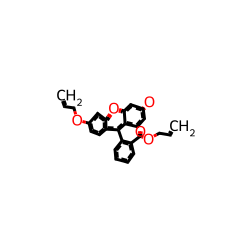 C=CCOC(=O)c1ccccc1-c1c2ccc(=O)cc-2oc2cc(OCC=C)ccc12